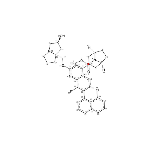 CC(C)(C)OC(=O)N1[C@@H]2CC[C@H]1CN(c1nc(OC[C@]34CCCN3C[C@@H](O)C4)nc3c(F)c(-c4cccc5cccc(Cl)c45)ncc13)C2